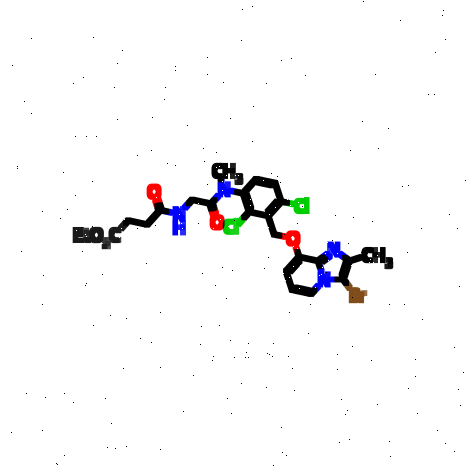 CCOC(=O)CCC(=O)NCC(=O)N(C)c1ccc(Cl)c(COc2cccn3c(Br)c(C)nc23)c1Cl